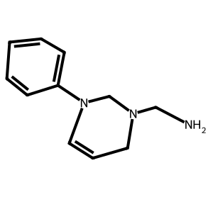 NCN1CC=CN(c2ccccc2)C1